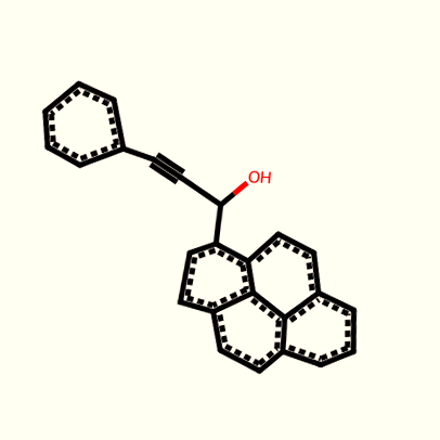 OC(C#Cc1ccccc1)c1ccc2ccc3cccc4ccc1c2c34